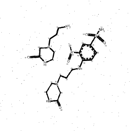 NCCCN1CCNC(=O)C1.NS(=O)(=O)c1ccc(NCCCN2CCNC(=O)C2)c([N+](=O)[O-])c1